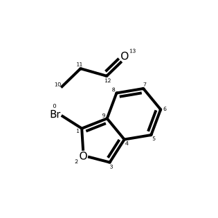 Brc1occ2ccccc12.CCC=O